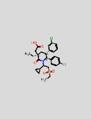 CC[C@]1(CC(=O)O)C[C@H](c2cccc(Cl)c2)[C@@H](c2ccc(Cl)cc2)N(C(CS(=O)(=O)CC)C2CC2)C1=O